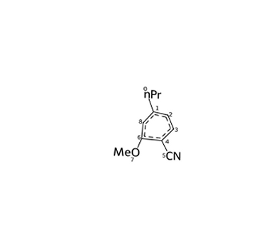 CCCc1ccc(C#N)c(OC)c1